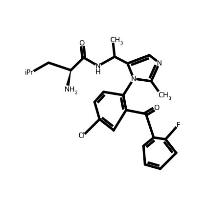 Cc1ncc(C(C)NC(=O)[C@@H](N)CC(C)C)n1-c1ccc(Cl)cc1C(=O)c1ccccc1F